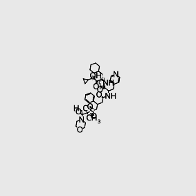 CC(C)(C(=O)N1CCOCC1)S(=O)(=O)CC(CC(=O)NC(Cc1ccncc1)C(=O)N[C@@H](CC1CCCCC1)[C@@H](O)[C@@H](O)C1CC1)c1ccccc1